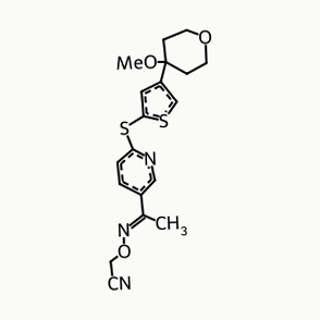 COC1(c2csc(Sc3ccc(/C(C)=N/OCC#N)cn3)c2)CCOCC1